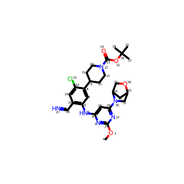 COc1nc(Nc2cc(C3CCN(C(=O)OC(C)(C)C)CC3)c(Cl)cc2C=N)cc(N2CC3CC2CO3)n1